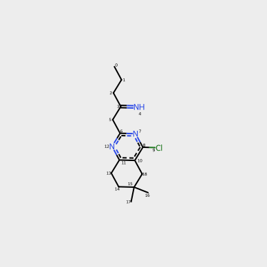 CCCC(=N)Cc1nc(Cl)c2c(n1)CCC(C)(C)C2